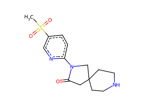 CS(=O)(=O)c1ccc(N2CC3(CCNCC3)CC2=O)nc1